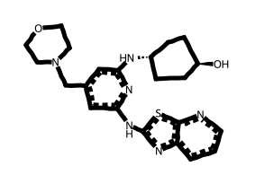 O[C@H]1CC[C@H](Nc2cc(CN3CCOCC3)cc(Nc3nc4cccnc4s3)n2)CC1